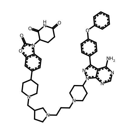 Nc1ncnc2c1c(-c1ccc(Oc3ccccc3)cc1)nn2C1CCN(CCCN2CCC(CN3CCC(c4ccc5c(c4)oc(=O)n5C4CCC(=O)NC4=O)CC3)C2)CC1